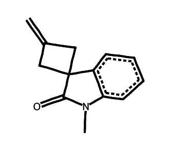 C=C1CC2(C1)C(=O)N(C)c1ccccc12